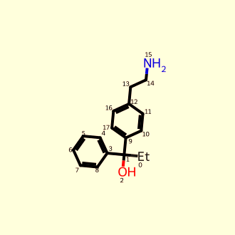 CCC(O)(c1ccccc1)c1ccc(CCN)cc1